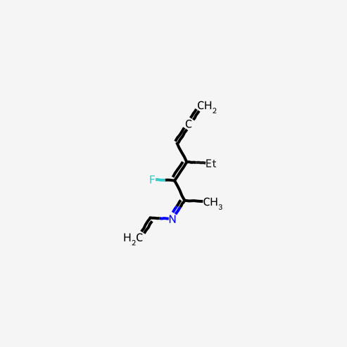 C=C=C/C(CC)=C(F)/C(C)=N\C=C